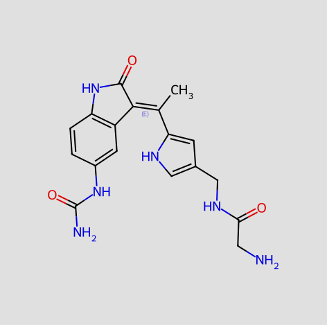 C/C(=C1\C(=O)Nc2ccc(NC(N)=O)cc21)c1cc(CNC(=O)CN)c[nH]1